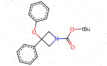 CC(C)(C)OC(=O)N1CC(Oc2ccccc2)(c2ccccc2)C1